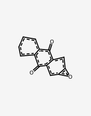 O=c1c2ccccc2c(=O)c2cc3oc3cc12